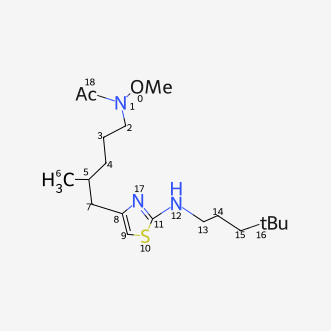 CON(CCCC(C)Cc1csc(NCCCC(C)(C)C)n1)C(C)=O